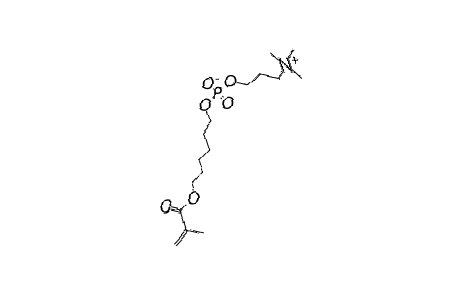 C=C(C)C(=O)OCCCCCCOP(=O)([O-])OCCC[N+](C)(C)C